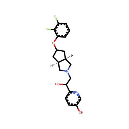 Oc1ccc(C(O)CN2C[C@H]3CC(Oc4cccc(F)c4F)C[C@H]3C2)nc1